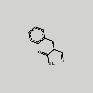 NC(=O)[C@H](C=O)Cc1ccccc1